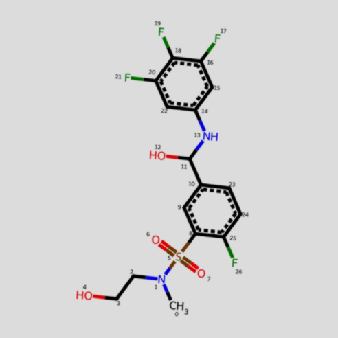 CN(CCO)S(=O)(=O)c1cc(C(O)Nc2cc(F)c(F)c(F)c2)ccc1F